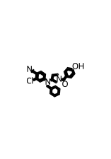 N#Cc1ccc(N(CC2CCCCC2)C2CCN(C(=O)c3ccc(O)cc3)C2)cc1Cl